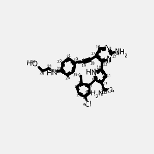 Cc1ccc(Cl)cc1-c1[nH]c(-c2nc(N)ncc2C#Cc2ccc(NCCO)cc2)cc1C(N)=O